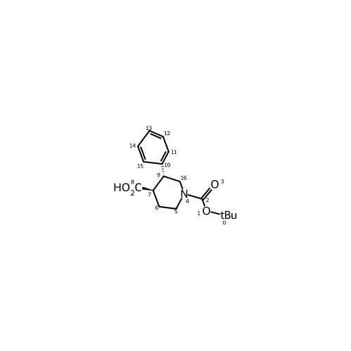 CC(C)(C)OC(=O)N1CC[C@@H](C(=O)O)[C@H](c2ccccc2)C1